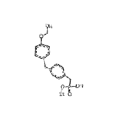 CCOP(=O)(O)Cc1ccc(Sc2ccc(OCO)cc2)cc1